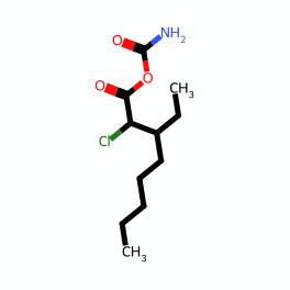 CCCCCC(CC)C(Cl)C(=O)OC(N)=O